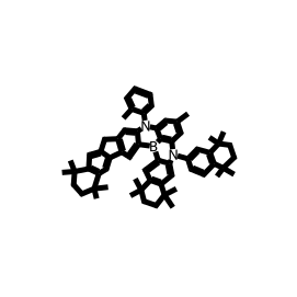 Cc1cc2c3c(c1)N(c1ccccc1C)c1cc4c(cc1B3c1cc3c(cc1N2c1ccc2c(c1)C(C)(C)CCC2(C)C)C(C)(C)CCC3(C)C)-c1cc2c(cc1C4)C(C)(C)CCC2(C)C